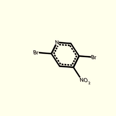 O=[N+]([O-])c1cc(Br)ncc1Br